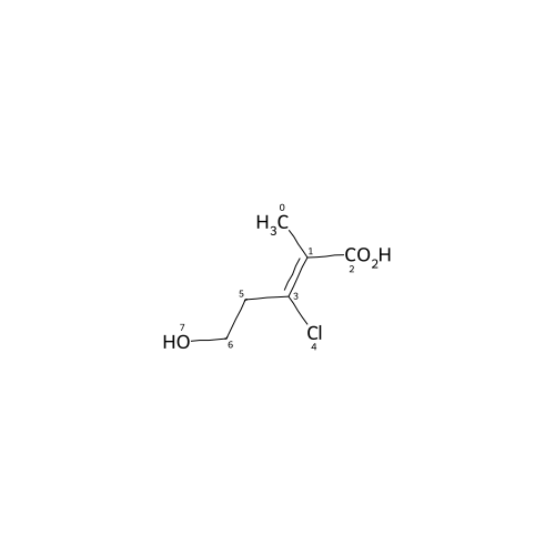 CC(C(=O)O)=C(Cl)CCO